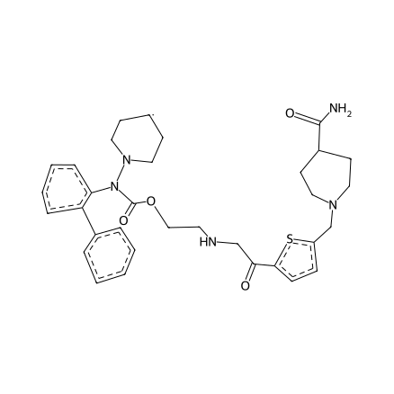 NC(=O)C1CCN(Cc2ccc(C(=O)CNCCOC(=O)N(c3ccccc3-c3ccccc3)N3CC[CH]CC3)s2)CC1